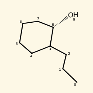 CCCC1CCCC[C@@H]1O